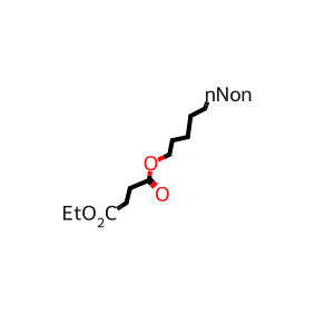 CCCCCCCCCCCCCCOC(=O)CCC(=O)OCC